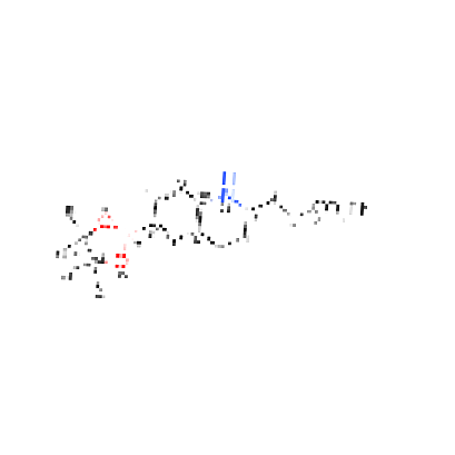 CCOC(=O)CCC1CCc2cc(B3OC(C)(C)C(C)(C)O3)ccc2N1